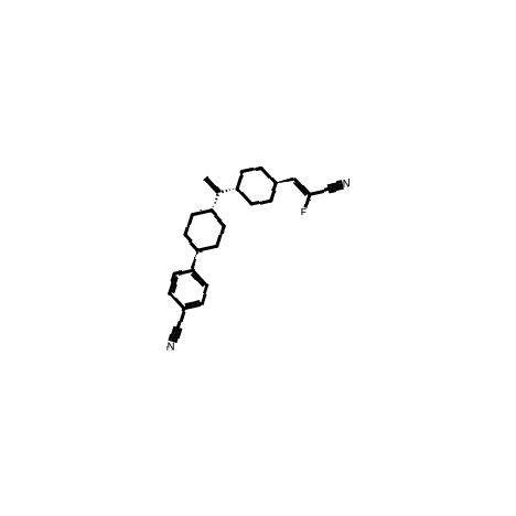 C=C([C@H]1CC[C@H](/C=C(\F)C#N)CC1)[C@H]1CC[C@H](c2ccc(C#N)cc2)CC1